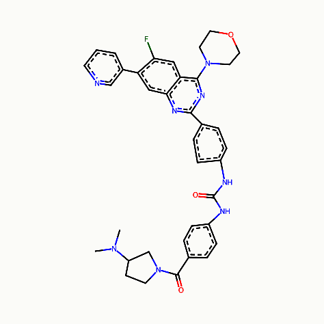 CN(C)C1CCN(C(=O)c2ccc(NC(=O)Nc3ccc(-c4nc(N5CCOCC5)c5cc(F)c(-c6cccnc6)cc5n4)cc3)cc2)C1